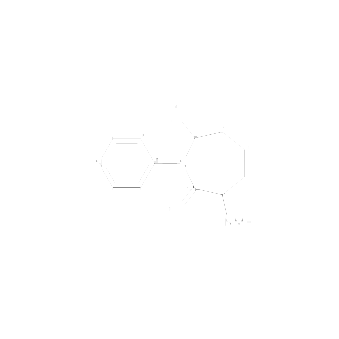 CNC1CCCC(C)N(c2ccncc2)C1=O